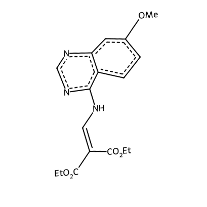 CCOC(=O)C(=CNc1ncnc2cc(OC)ccc12)C(=O)OCC